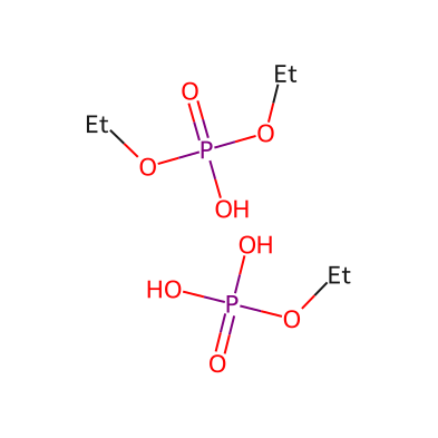 CCOP(=O)(O)O.CCOP(=O)(O)OCC